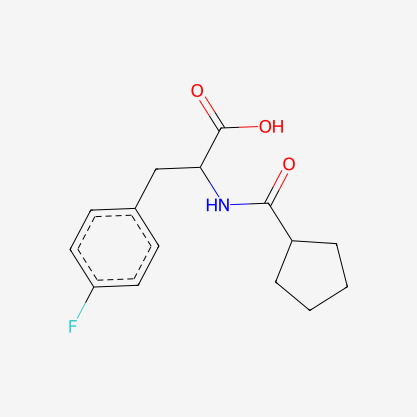 O=C(NC(Cc1ccc(F)cc1)C(=O)O)C1CCCC1